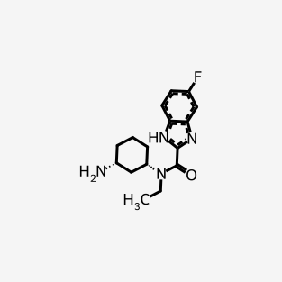 CCN(C(=O)c1nc2cc(F)ccc2[nH]1)[C@H]1CCC[C@@H](N)C1